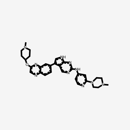 CN1CCC(Oc2cnc3ccc(-c4c[nH]c5nc(Nc6ccnc(N7CCN(C)CC7)c6)ncc45)cc3n2)CC1